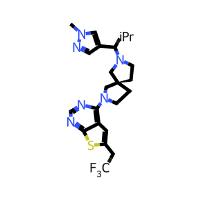 CC(C)C(c1cnn(C)c1)N1CC[C@]2(CCN(c3ncnc4sc(CC(F)(F)F)cc34)C2)C1